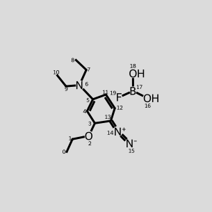 CCOC1C=C(N(CC)CC)C=CC1=[N+]=[N-].OB(O)F